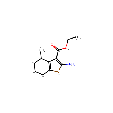 CCOC(=O)c1c(N)sc2c1C(C)CCC2